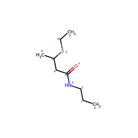 CCCNC(=O)CC(C)SCC